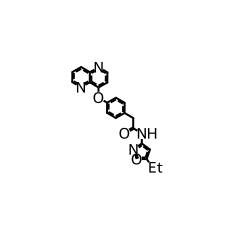 CCc1cc(NC(=O)Cc2ccc(Oc3ccnc4cccnc34)cc2)no1